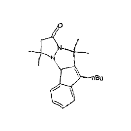 CCCCC1=C2C(c3ccccc31)N1N(C(=O)CC1(C)C)C2(C)C